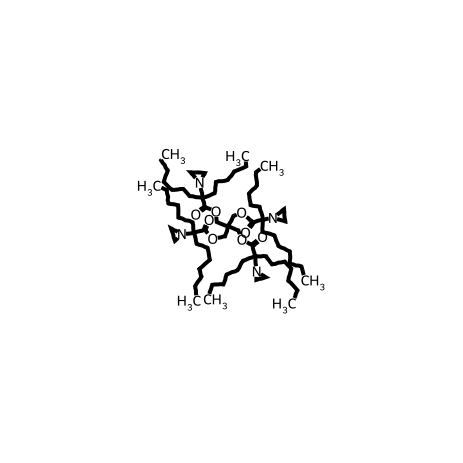 CCCCCCCC(CCCCCC)(C(=O)OCC(COC(=O)C(CCCCCC)(CCCCCCC)N1CC1)(COC(=O)C(CCCCCC)(CCCCCCC)N1CC1)COC(=O)C(CCCCCC)(CCCCCCC)N1CC1)N1CC1